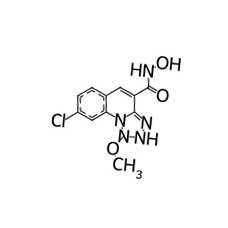 CON1NN=C2C(C(=O)NO)=Cc3ccc(Cl)cc3N21